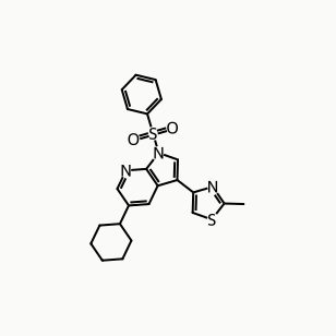 Cc1nc(-c2cn(S(=O)(=O)c3ccccc3)c3ncc(C4CCCCC4)cc23)cs1